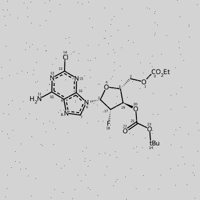 CCOC(=O)OC[C@H]1O[C@@H](n2cnc3c(N)nc(Cl)nc32)[C@@H](F)[C@@H]1OC(=O)OC(C)(C)C